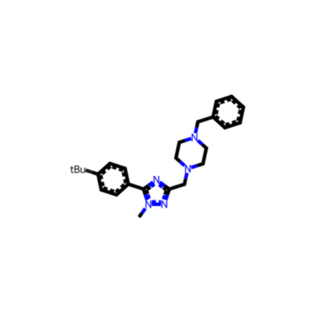 Cn1nc(CN2CCN(Cc3ccccc3)CC2)nc1-c1ccc(C(C)(C)C)cc1